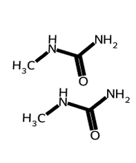 CNC(N)=O.CNC(N)=O